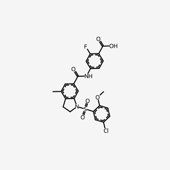 COc1ccc(Cl)cc1S(=O)(=O)N1CCc2c(C)cc(C(=O)Nc3ccc(C(=O)O)c(F)c3)cc21